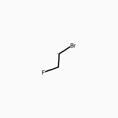 FC[CH]Br